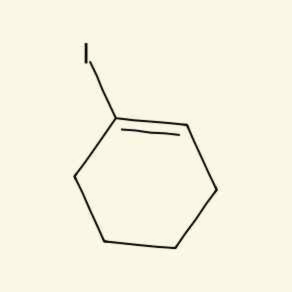 IC1=CCCCC1